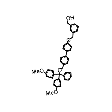 COc1ccc(C(OCc2ccc(-c3ccc(OCc4cccc(CO)c4)cc3)cc2)(c2ccccc2)c2ccc(OC)cc2)cc1